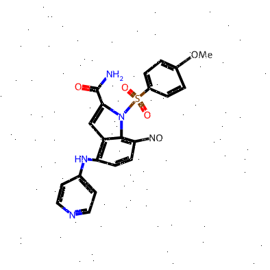 COc1ccc(S(=O)(=O)n2c(C(N)=O)cc3c(Nc4ccncc4)ccc(N=O)c32)cc1